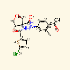 Cc1cc(NC(=O)C2(NC(=O)c3ccc(Br)s3)CCOC2)ccc1C(=O)C#N